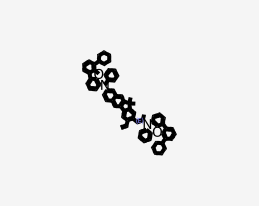 C=Cc1cc2c(cc1/C=C(\C)N(c1ccccc1)c1cccc3c1oc1c(C4CCCCC4)cccc13)C(C)(C)c1cc3cc(N(c4ccccc4)c4cccc5c4oc4c(C6CCCCC6)cccc45)ccc3cc1-2